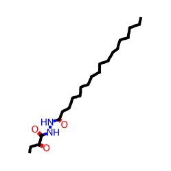 CCCCCCCCCCCCCCCCCC(=O)NNC(=O)C(=O)CC